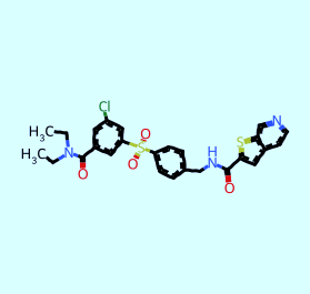 CCN(CC)C(=O)c1cc(Cl)cc(S(=O)(=O)c2ccc(CNC(=O)c3cc4ccncc4s3)cc2)c1